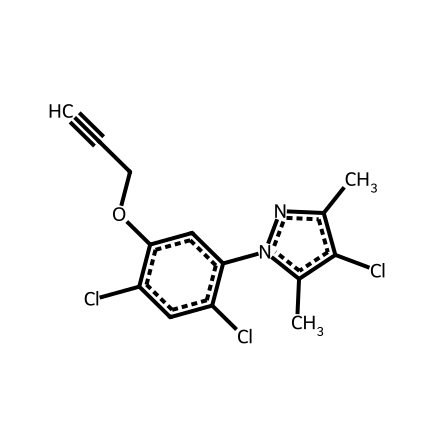 C#CCOc1cc(-n2nc(C)c(Cl)c2C)c(Cl)cc1Cl